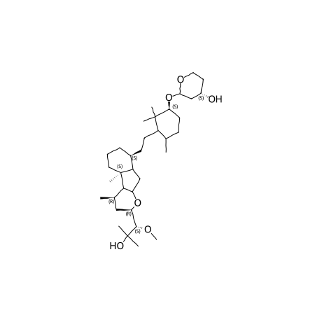 CO[C@@H]([C@H]1C[C@@H](C)C2C(CC3[C@H](CCC4C(C)CC[C@H](OC5C[C@@H](O)CCO5)C4(C)C)CCC[C@@]32C)O1)C(C)(C)O